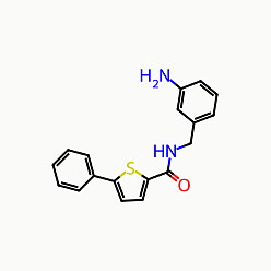 Nc1cccc(CNC(=O)c2ccc(-c3ccccc3)s2)c1